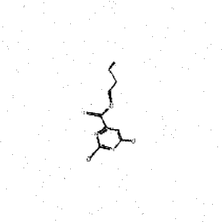 CCCCOC(=O)c1cc(Cl)nc(Cl)n1